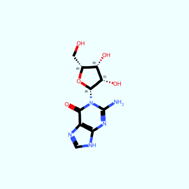 Nc1nc2[nH]cnc2c(=O)n1[C@@H]1O[C@H](CO)[C@H](O)[C@@H]1O